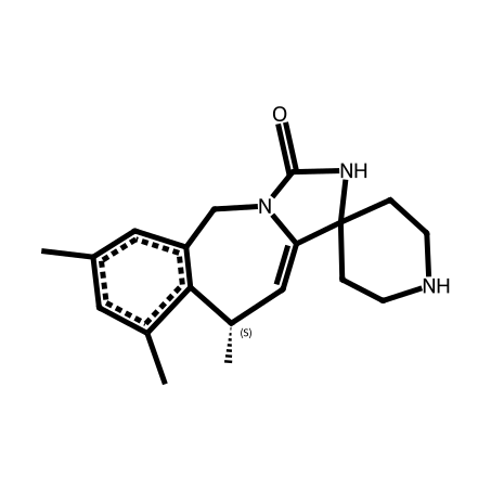 Cc1cc(C)c2c(c1)CN1C(=O)NC3(CCNCC3)C1=C[C@@H]2C